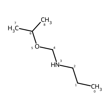 CCCNCOC(C)C